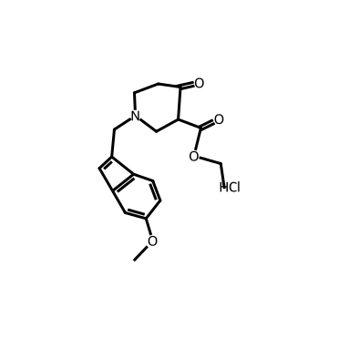 CCOC(=O)C1CN(CC2=Cc3cc(OC)ccc32)CCC1=O.Cl